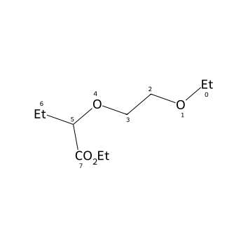 CCOCCOC(CC)C(=O)OCC